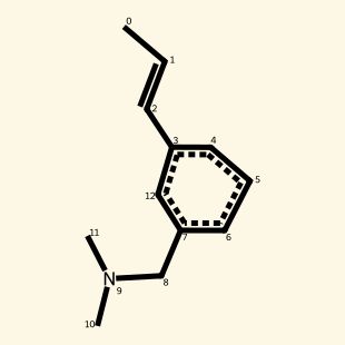 C/C=C/c1cccc(CN(C)C)c1